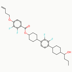 C=CCCOc1ccc(C(=O)OC2CCC(c3ccc(C4CCC(C(O)CCC)CC4)c(F)c3F)CC2)c(F)c1F